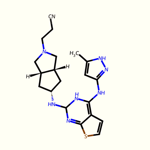 Cc1cc(NC2=c3ccsc3=NC(N[C@@H]3C[C@@H]4CN(CCC#N)C[C@@H]4C3)N2)n[nH]1